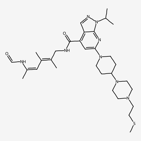 CSCCN1CCN(C2CCN(c3cc(C(=O)NC/C(C)=C(C)/C=C(/C)NC=O)c4cnn(C(C)C)c4n3)CC2)CC1